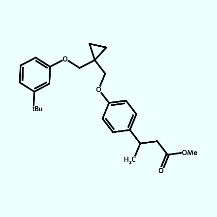 COC(=O)CC(C)c1ccc(OCC2(COc3cccc(C(C)(C)C)c3)CC2)cc1